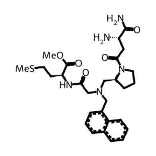 COC(=O)[C@H](CCSC)NC(=O)CN(Cc1cccc2ccccc12)C[C@@H]1CCCN1C(=O)C[C@H](N)C(N)=O